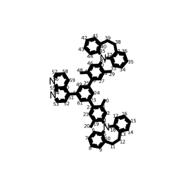 Cc1cc(N2c3ccccc3CCc3ccccc32)c(C)cc1-c1cc(-c2cc(C)c(N3c4ccccc4CCc4ccccc43)cc2C)cc(-c2ccnc3ncccc23)c1